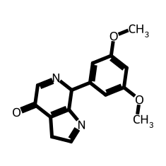 COc1cc(OC)cc(C2N=CC(=O)C3=C2N=CC3)c1